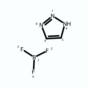 FB(F)F.c1c[nH]nn1